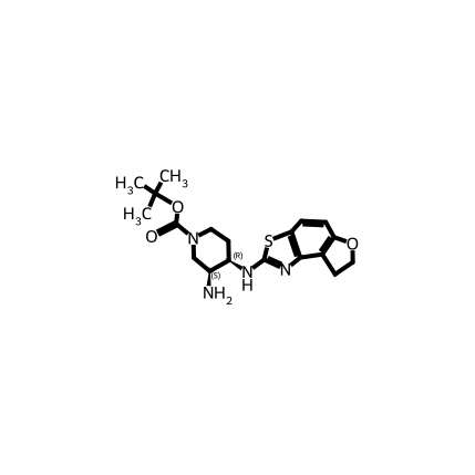 CC(C)(C)OC(=O)N1CC[C@@H](Nc2nc3c4c(ccc3s2)OCC4)[C@@H](N)C1